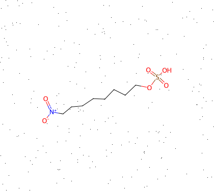 O=[N+]([O-])CCCCCCCCOS(=O)(=O)O